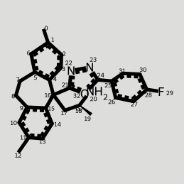 Cc1ccc2c(c1)CCc1cc(C)ccc1C2(C[C@H](C)N)c1nnc(-c2ccc(F)cc2)o1